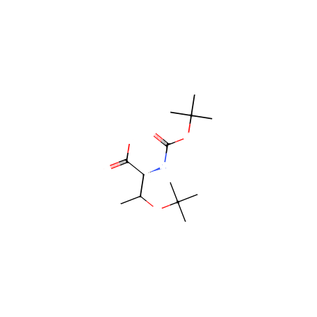 CC(OC(C)(C)C)[C@H](NC(=O)OC(C)(C)C)C(=O)O